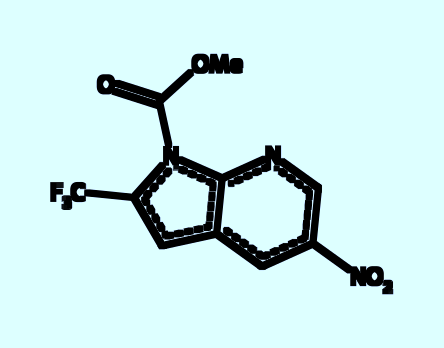 COC(=O)n1c(C(F)(F)F)cc2cc([N+](=O)[O-])cnc21